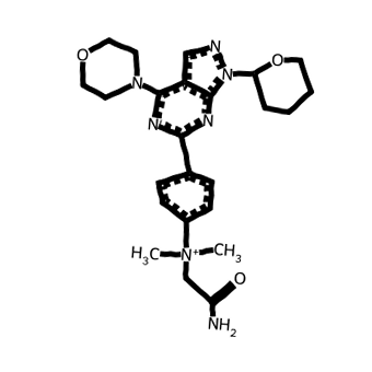 C[N+](C)(CC(N)=O)c1ccc(-c2nc(N3CCOCC3)c3cnn(C4CCCCO4)c3n2)cc1